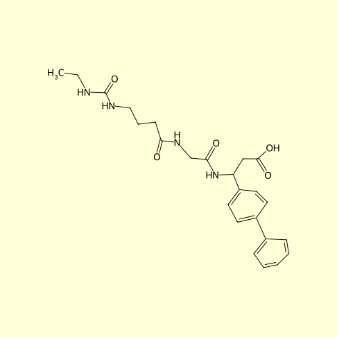 CCNC(=O)NCCCC(=O)NCC(=O)NC(CC(=O)O)c1ccc(-c2ccccc2)cc1